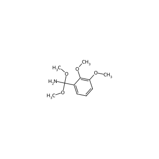 COc1cccc(C(N)(OC)OC)c1OC